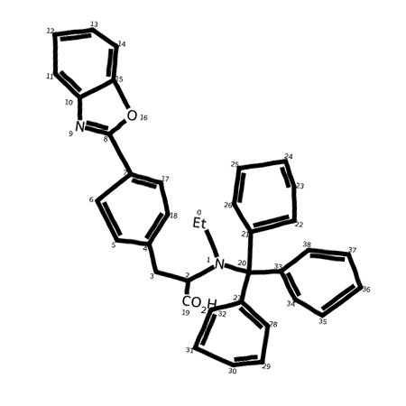 CCN(C(Cc1ccc(-c2nc3ccccc3o2)cc1)C(=O)O)C(c1ccccc1)(c1ccccc1)c1ccccc1